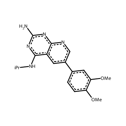 COc1ccc(-c2cnc3nc(N)nc(NC(C)C)c3c2)cc1OC